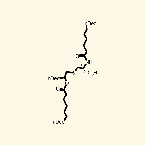 CCCCCCCCCCCCCCCC(=O)N[C@@H](CSCC(CCCCCCCCCC)OC(=O)CCCCCCCCCCCCCCC)C(=O)O